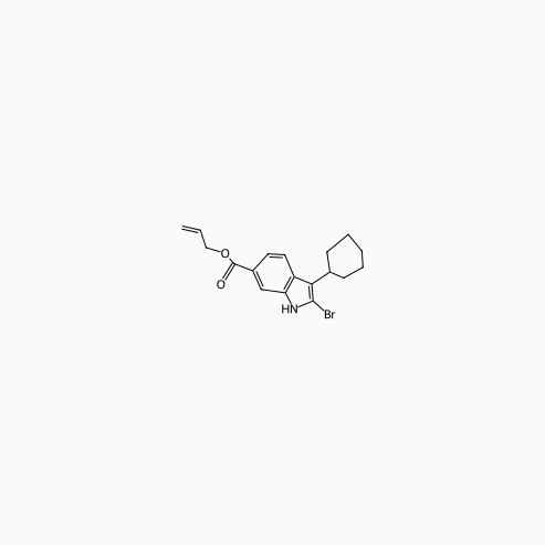 C=CCOC(=O)c1ccc2c(C3CCCCC3)c(Br)[nH]c2c1